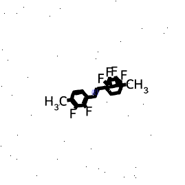 Cc1ccc(/C=C/C23CCC(C)(CC2)C(F)(F)C3(F)F)c(F)c1F